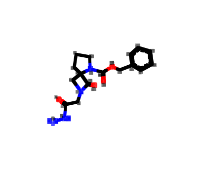 NNC(=O)CN1CC2(CCCN2C(=O)OCc2ccccc2)C1=O